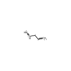 C=CC[SiH]=N